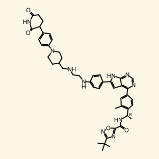 Cc1cc(-c2ncnc3[nH]c(-c4ccc(NCCNCC5CCN(c6ccc(C7CCC(=O)NC7=O)cc6)CC5)cc4)cc23)ccc1[C@@H](C)NC(=O)c1nc(C(C)(C)C)no1